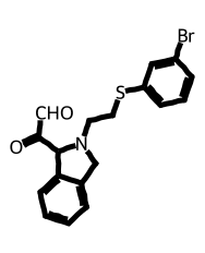 O=CC(=O)C1c2ccccc2CN1CCSc1cccc(Br)c1